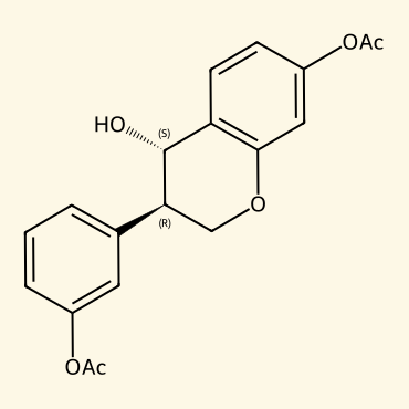 CC(=O)Oc1cccc([C@@H]2COc3cc(OC(C)=O)ccc3[C@H]2O)c1